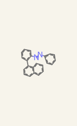 c1ccc(N=Nc2ccccc2-c2cccc3ccccc23)cc1